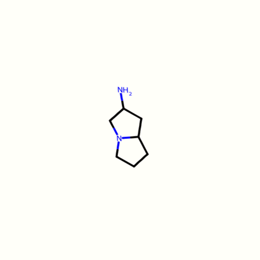 NC1CC2CCCN2C1